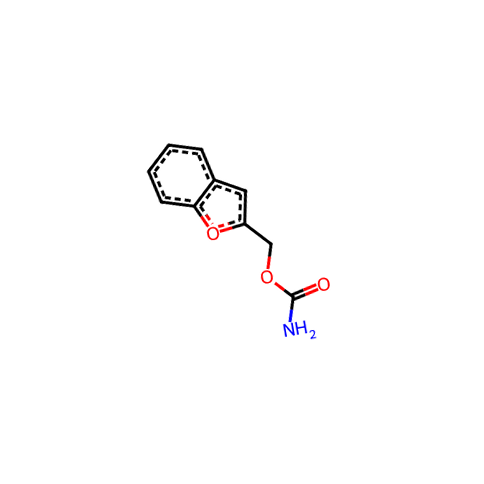 NC(=O)OCc1cc2ccccc2o1